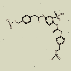 O=C(Cc1ccc(CO[N+](=O)[O-])cc1)Oc1ccc(OC(=O)Cc2ccc(CO[N+](=O)[O-])cc2)c(S(=O)(=O)O)c1